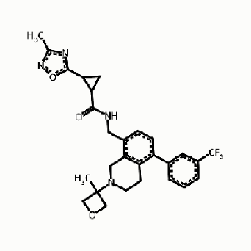 Cc1noc(C2CC2C(=O)NCc2ccc(-c3cccc(C(F)(F)F)c3)c3c2CN(C2(C)COC2)CC3)n1